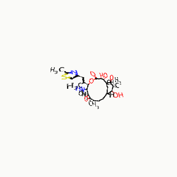 CNC1[C@@H](/C(C)=C/c2csc(C)n2)OC(=O)C[C@H](O)[C@]2(C)C[C@@H](CCC[C@@]3(C)O[C@@H]13)[C@H](O)[C@@H](C)C2=O